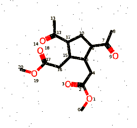 COC(=O)CC1C(C(C)=O)CC(C(C)=O)C1CC(=O)OC